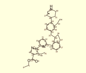 CCOC(=O)c1cnn(-c2cccc(-c3cccc4c3C(Cc3ccc(C5CCNCC5)c(CC)c3)CC4)n2)c1CC